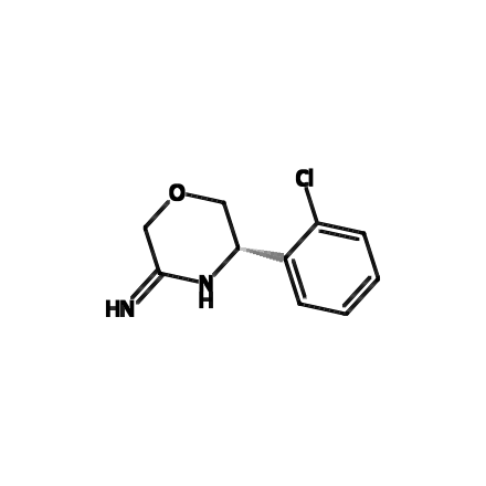 N=C1COC[C@H](c2ccccc2Cl)N1